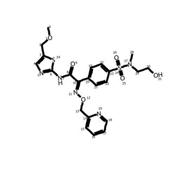 COCc1cnc(NC(=O)/C(=N/OCc2ccccn2)c2ccc(S(=O)(=O)N(C)CCO)cc2)s1